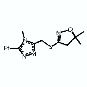 CCc1nnc(CSC2=NOC(C)(C)C2)n1C